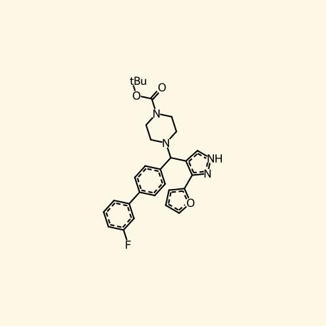 CC(C)(C)OC(=O)N1CCN(C(c2ccc(-c3cccc(F)c3)cc2)c2c[nH]nc2-c2ccco2)CC1